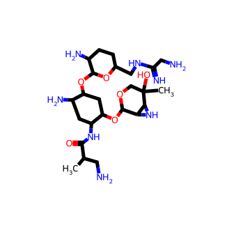 CC(CN)C(=O)NC1CC(N)C(OC2OC(CNC(=N)CN)CCC2N)CC1OC1OCC(C)(O)C2NC12